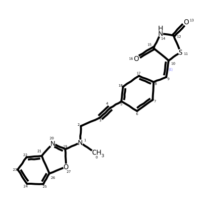 CN(CC#Cc1ccc(/C=C2/SC(=O)NC2=O)cc1)c1nc2ccccc2o1